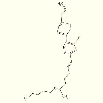 C=CCc1ccc(-c2ccc(C=CCCCC(C)OCCCCC)cc2F)cc1